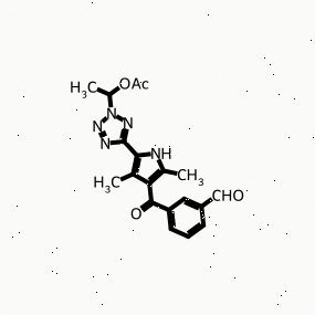 CC(=O)OC(C)n1nnc(-c2[nH]c(C)c(C(=O)c3cccc(C=O)c3)c2C)n1